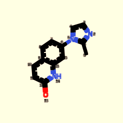 Cc1nccn1-c1ccc2ccc(=O)[nH]c2c1